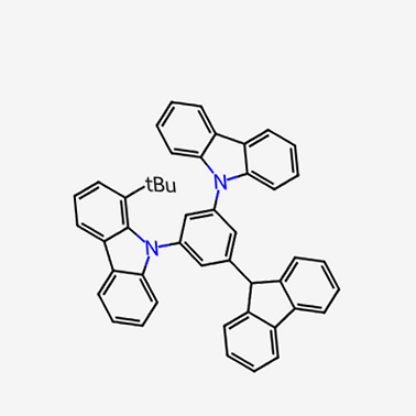 CC(C)(C)c1cccc2c3ccccc3n(-c3cc(C4c5ccccc5-c5ccccc54)cc(-n4c5ccccc5c5ccccc54)c3)c12